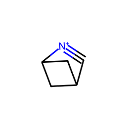 C1#[N+]C2CC1C2